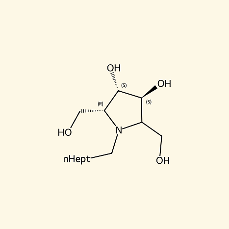 CCCCCCCCN1C(CO)[C@H](O)[C@@H](O)[C@H]1CO